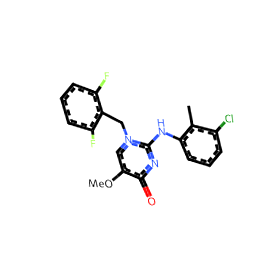 COc1cn(Cc2c(F)cccc2F)c(Nc2cccc(Cl)c2C)nc1=O